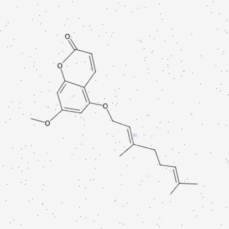 COc1cc(OC/C=C(\C)CCC=C(C)C)c2ccc(=O)oc2c1